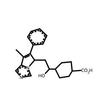 CC1=C(c2ccccc2)C(CC(O)C2CCC(C(=O)O)CC2)n2cncc21